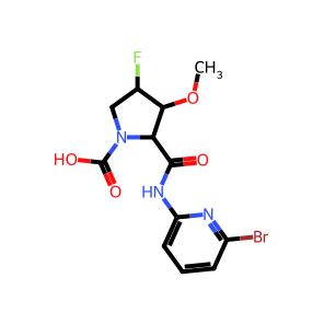 COC1C(F)CN(C(=O)O)C1C(=O)Nc1cccc(Br)n1